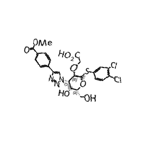 COC(=O)c1ccc(-c2cn([C@H]3[C@@H](O)[C@@H](CO)O[C@H](Sc4ccc(Cl)c(Cl)c4)[C@@H]3OCC(=O)O)nn2)cc1